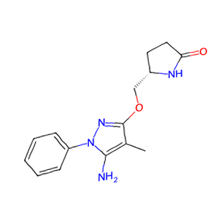 Cc1c(OC[C@@H]2CCC(=O)N2)nn(-c2ccccc2)c1N